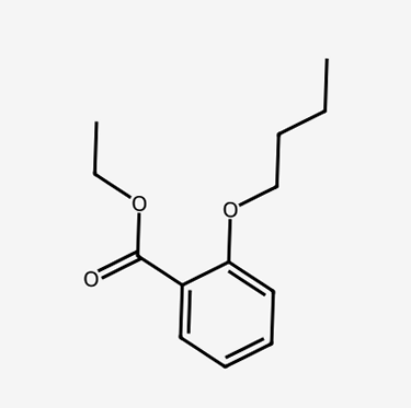 CCCCOc1ccccc1C(=O)OCC